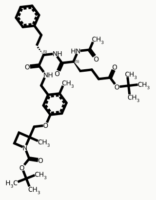 CC(=O)N[C@@H](CCCC(=O)OC(C)(C)C)C(=O)N[C@@H](CCc1ccccc1)C(=O)NCc1cc(OCC2(C)CCN2C(=O)OC(C)(C)C)ccc1C